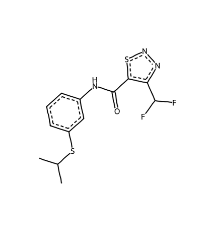 CC(C)Sc1cccc(NC(=O)c2snnc2C(F)F)c1